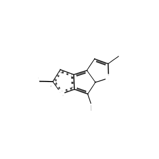 [Li][C]1=c2sc(C)cc2=C2C=C(C)SC21